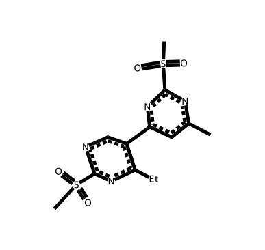 CCc1nc(S(C)(=O)=O)n[c]c1-c1cc(C)nc(S(C)(=O)=O)n1